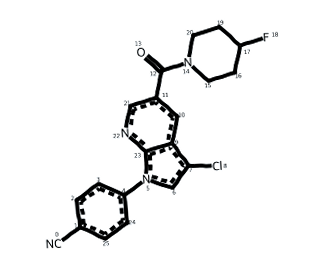 N#Cc1ccc(-n2cc(Cl)c3cc(C(=O)N4CCC(F)CC4)cnc32)cc1